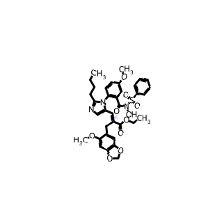 CCCCc1ncc(/C=C(\Cc2cc3c(cc2OC)OCO3)C(=O)OCC)n1-c1ccc(OC)cc1C(=O)N(O)S(=O)(=O)c1ccccc1